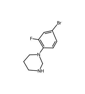 Fc1cc(Br)ccc1N1CCCNC1